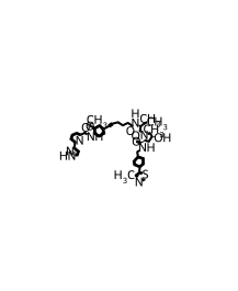 COc1cc(C#CCCCC(=O)N[C@H](C(=O)N2C[C@H](O)C[C@H]2C(=O)NCc2ccc(-c3scnc3C)cc2)C(C)(C)C)ccc1NC(=O)c1cccc(-c2cc[nH]n2)n1